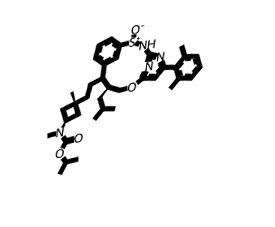 Cc1cccc(C)c1-c1cc2nc(n1)N[S+]([O-])c1cccc(c1)C(CC[C@]1(C)C[C@@H](N(C)C(=O)OC(C)C)C1)[C@H](CC(C)C)CO2